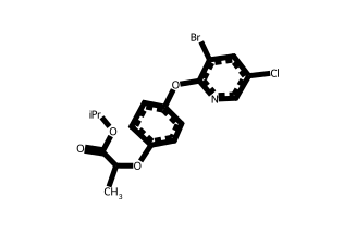 CC(C)OC(=O)C(C)Oc1ccc(Oc2ncc(Cl)cc2Br)cc1